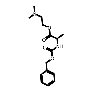 CC(NC(=O)OCc1ccccc1)C(=O)OCCN(C)C